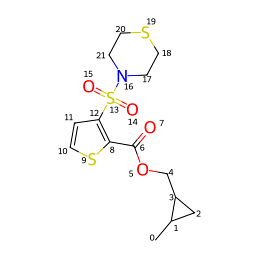 CC1CC1COC(=O)c1sccc1S(=O)(=O)N1CCSCC1